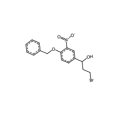 O=[N+]([O-])c1cc(C(O)CCBr)ccc1OCc1ccccc1